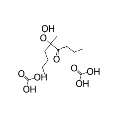 CCCCC(C)(OO)C(=O)CCC.O=C(O)O.O=C(O)O